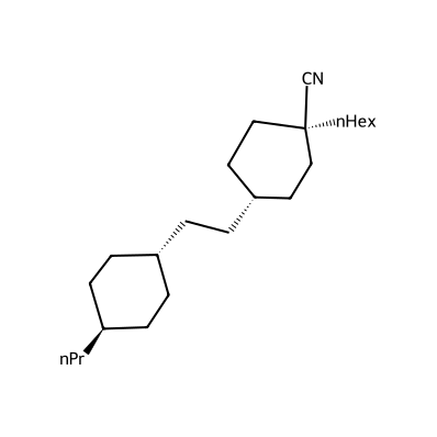 CCCCCC[C@]1(C#N)CC[C@H](CC[C@H]2CC[C@H](CCC)CC2)CC1